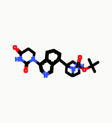 CC(C)(C)OC(=O)N1C2CNCC1(c1cccc3c(N4CCC(=O)NC4=O)cncc13)C2